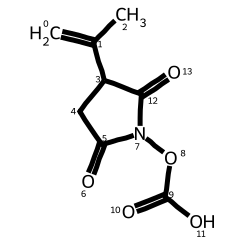 C=C(C)C1CC(=O)N(OC(=O)O)C1=O